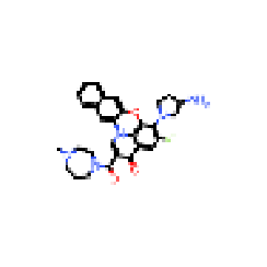 CN1CCCN(C(=O)c2cn3c4c(c(N5CCC(N)C5)c(F)cc4c2=O)Oc2cc4ccccc4cc2-3)CC1